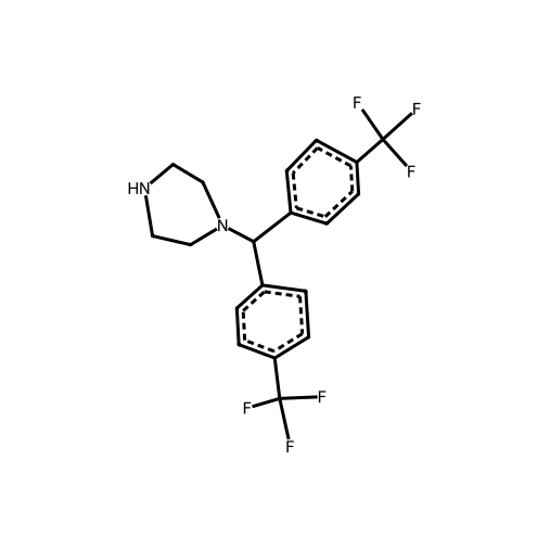 FC(F)(F)c1ccc(C(c2ccc(C(F)(F)F)cc2)N2CCNCC2)cc1